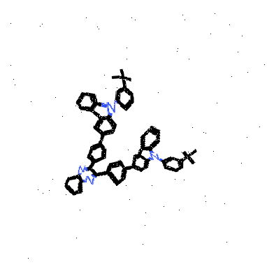 CC(C)(C)c1cccc(-n2c3ccccc3c3cc(-c4ccc(-c5nc6ccccc6nc5-c5ccc(-c6ccc7c(c6)c6ccccc6n7-c6cccc(C(C)(C)C)c6)cc5)cc4)ccc32)c1